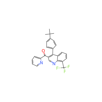 CC(C)(C)c1ccc(-c2c(C(=O)c3ccccn3)cnc3c(C(F)(F)F)cccc23)cc1